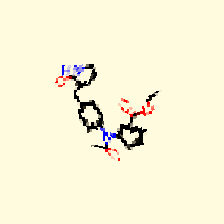 CCOC(=O)c1cccc(N(C(C)=O)c2ccc(Cc3ccc[nH]c3=O)cc2)c1